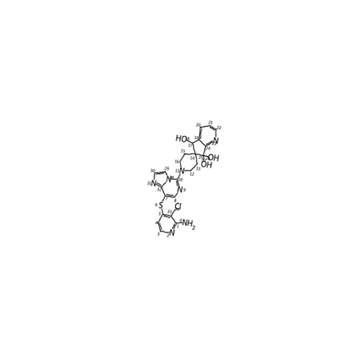 Nc1nccc(Sc2cnc(N3CCC4(CC3)C(O)c3cccnc3C4(O)O)n3ccnc23)c1Cl